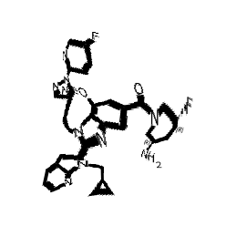 COc1cc(C(=O)N2C[C@H](N)C[C@@H](F)C2)cc2nc(-c3cc4cccnc4n3CC3CC3)n(Cc3cnn(-c4ccc(F)cn4)c3)c12